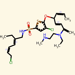 C=C(/C=C/C(/C=C\C)Oc1sc(S(=O)(=O)NC/C(=C/C=C\CCl)CC)cc1Cl)N(CC)CCNC